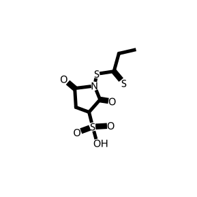 CCC(=S)SN1C(=O)CC(S(=O)(=O)O)C1=O